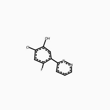 Oc1cc(-c2cccnn2)c(F)cc1Cl